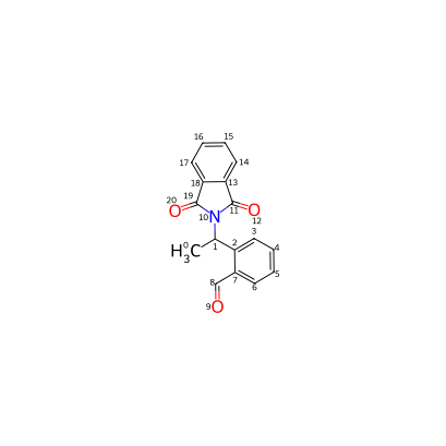 CC(c1ccccc1C=O)N1C(=O)c2ccccc2C1=O